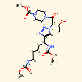 CC(O)[C@@H](C(=O)N1CCN(C(=O)OC(C)(C)C)CC1)n1cc([C@@H](CCCCNC(=O)OC(C)(C)C)NC(=O)OC(C)(C)C)nn1